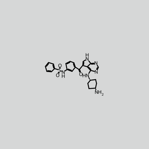 N[C@H]1CC[C@@H](Nc2ncnc3[nH]cc(C(=O)c4cccc(NS(=O)(=O)c5ccccc5)c4)c23)CC1